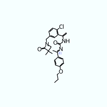 C=C(NC(=O)/N=C(\C)c1ccc(OCCC)cc1)c1cc(CN2CC(C)(C)C2=O)ccc1Cl